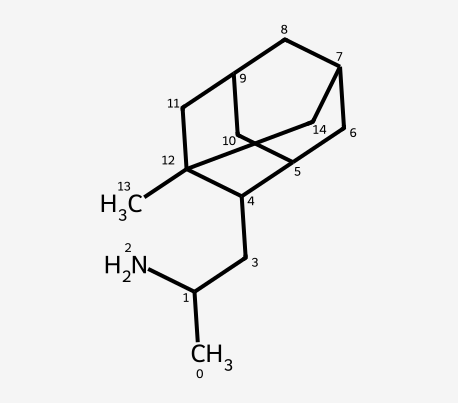 CC(N)CC1C2CC3CC(C2)CC1(C)C3